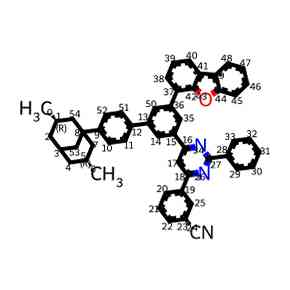 C[C@@H]1CC2C[C@@H](C)CC(c3ccc(-c4cc(-c5cc(-c6cccc(C#N)c6)nc(-c6ccccc6)n5)cc(-c5cccc6c5oc5ccccc56)c4)cc3)(C2)C1